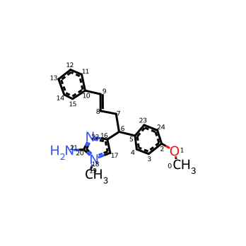 COc1ccc(C(CC=Cc2ccccc2)c2cn(C)c(N)n2)cc1